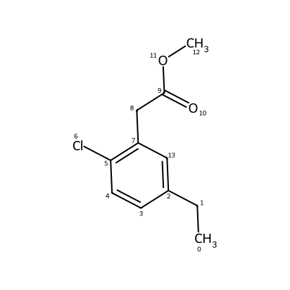 CCc1ccc(Cl)c(CC(=O)OC)c1